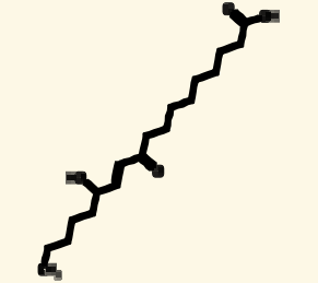 CCCCCC(O)C=CC(=O)CCCCCCCCC(=O)O